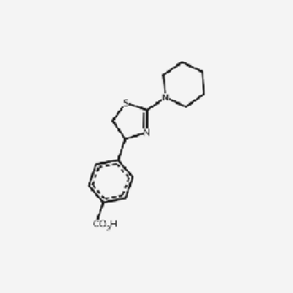 O=C(O)c1ccc(C2CSC(N3CCCCC3)=N2)cc1